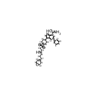 NC(=O)c1cc(-c2ccccc2)cc2c(C3CCN(S(=O)(=O)CCNCCCN4CCOCC4)CC3)c[nH]c12